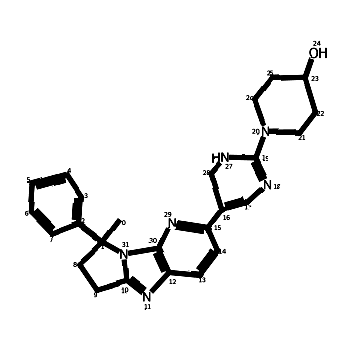 CC1(c2ccccc2)CCc2nc3ccc(C4=CN=C(N5CCC(O)CC5)NC4)nc3n21